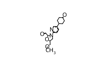 COCC1CN(c2ccc(C3CCC(=O)CC3)cn2)C(C=O)O1